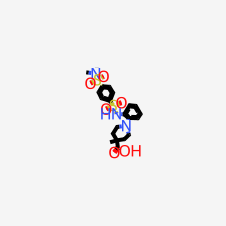 CN(C)S(=O)(=O)c1ccc(S(=O)(=O)Nc2ccccc2N2CCC(C)(C(=O)O)CC2)cc1